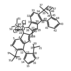 CC1=Cc2c(ccc(C(C)(C)C)c2-c2ccccc2C(C)C)[CH]1[Zr]([Cl])([Cl])([CH]1C(C)=Cc2c1ccc(C(C)(C)C)c2-c1ccccc1C(C)C)[SiH](C)C